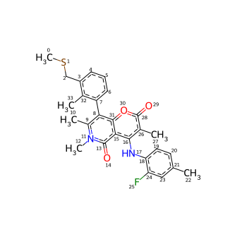 CSCc1cccc(-c2c(C)n(C)c(=O)c3c(Nc4ccc(C)cc4F)c(C)c(=O)oc23)c1C